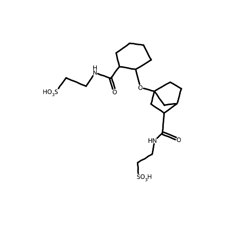 O=C(NCCS(=O)(=O)O)C1CC2(OC3CCCCC3C(=O)NCCS(=O)(=O)O)CCC1C2